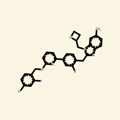 Cc1ccc2nc(Cc3ccc(-c4cccc(OCc5ccc(Cl)cc5F)n4)cc3F)n(CC3CCO3)c2c1